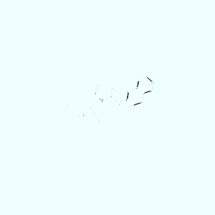 CC(C)(C)[Si](C)(C)O[C@H]1CCCC[C@@H]1Nc1ccc2ccccc2c1